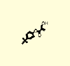 C=C(CO)C(=O)Oc1ccc(C(C)(C)C)cc1